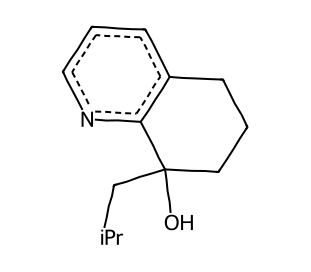 CC(C)CC1(O)CCCc2cccnc21